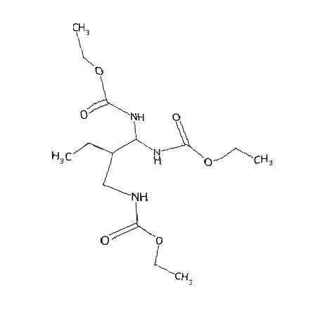 CCOC(=O)NCC(CC)C(NC(=O)OCC)NC(=O)OCC